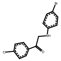 O=C(CNc1ccc(Br)cc1)c1ccc(Cl)cc1